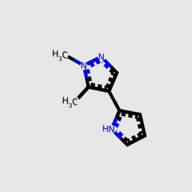 Cc1c(-c2ccc[nH]2)cnn1C